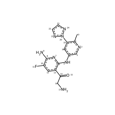 Cc1ncc(Nc2nc(N)c(F)cc2C(=O)CN)cc1-n1nccn1